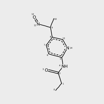 CCC(=O)Nc1ccc(C(C)N=O)cn1